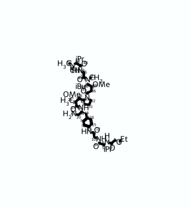 CCOCC(=O)NC(C(=O)NCC(=O)Nc1ccc(C[C@@H](CN)NC(=O)[C@H](C)[C@@H](OC)[C@@H]2CCCN2C(=O)C[C@@H](OC)[C@H]([C@@H](C)CC)N(C)C(=O)CNC(=O)C(C(C)C)N(C)C)cc1)C(C)C